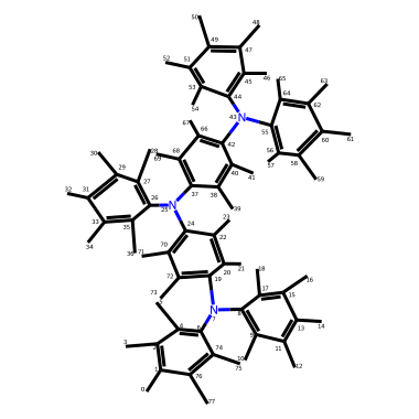 Cc1c(C)c(C)c(N(c2c(C)c(C)c(C)c(C)c2C)c2c(C)c(C)c(N(c3c(C)c(C)c(C)c(C)c3C)c3c(C)c(C)c(N(c4c(C)c(C)c(C)c(C)c4C)c4c(C)c(C)c(C)c(C)c4C)c(C)c3C)c(C)c2C)c(C)c1C